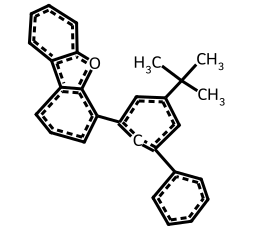 CC(C)(C)c1cc(-c2ccccc2)cc(-c2cccc3c2oc2ccccc23)c1